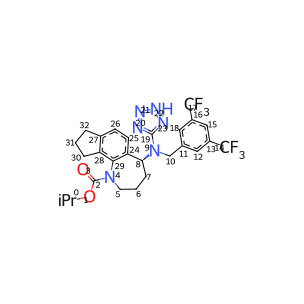 CC(C)OC(=O)N1CCC[C@H](N(Cc2cc(C(F)(F)F)cc(C(F)(F)F)c2)c2nn[nH]n2)c2ccc3c(c21)CCC3